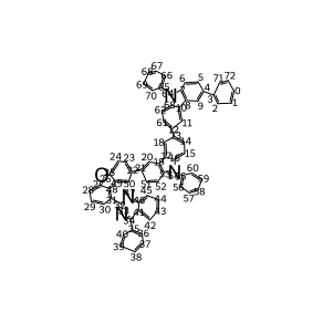 c1ccc(-c2ccc3c(c2)c2cc(-c4ccc5c(c4)c4cc(-c6ccc7oc8cccc(-c9nc(-c%10ccccc%10)c%10ccccc%10n9)c8c7c6)ccc4n5-c4ccccc4)ccc2n3-c2ccccc2)cc1